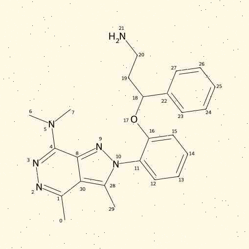 Cc1nnc(N(C)C)c2nn(-c3ccccc3OC(CCN)c3ccccc3)c(C)c12